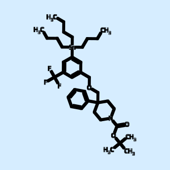 CCC[CH2][Sn]([CH2]CCC)([CH2]CCC)[c]1cc(COCC2(c3ccccc3)CCN(C(=O)OC(C)(C)C)CC2)cc(C(F)(F)F)c1